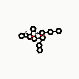 c1ccc(-c2ccc(-c3ccc(N(c4ccccc4-c4ccccc4-c4ccc5ccccc5c4)c4ccccc4-c4cccc5c4sc4ccccc45)cc3)cc2)cc1